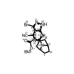 CC1(NC(=O)OC(C)(C)C)CC2CCC(C1)N2c1nc(C#N)c2c(Br)n[nH]c2n1